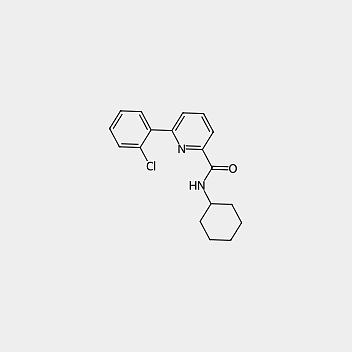 O=C(NC1CCCCC1)c1cccc(-c2ccccc2Cl)n1